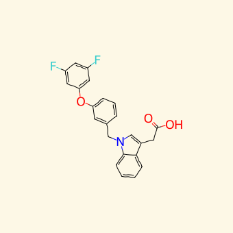 O=C(O)Cc1cn(Cc2cccc(Oc3cc(F)cc(F)c3)c2)c2ccccc12